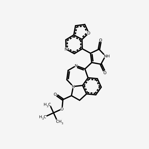 CC(C)(C)OC(=O)C1Cc2cccc3c2N1C=CN=C3C1=C(c2cncc3ccoc23)C(=O)NC1=O